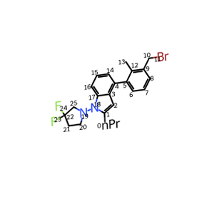 CCCc1cc2c(-c3cccc(CBr)c3C)cccc2n1N1CCC(F)(F)C1